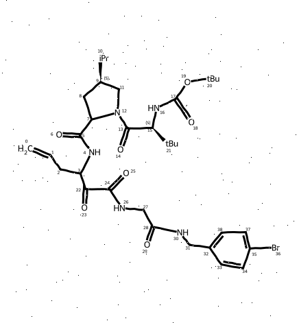 C=CCC(NC(=O)C1C[C@@H](C(C)C)CN1C(=O)[C@@H](NC(=O)OC(C)(C)C)C(C)(C)C)C(=O)C(=O)NCC(=O)NCc1ccc(Br)cc1